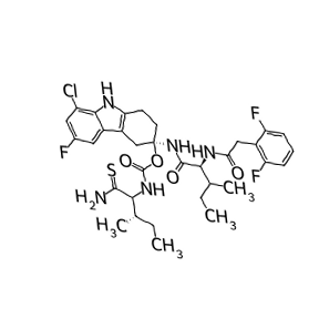 CCC(C)[C@H](NC(=O)Cc1c(F)cccc1F)C(=O)N[C@@]1(OC(=O)NC(C(N)=S)[C@@H](C)CC)CCc2[nH]c3c(Cl)cc(F)cc3c2C1